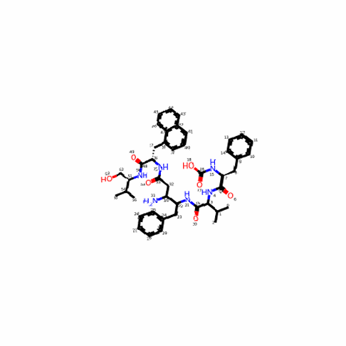 CC(C)C(NC(=O)[C@H](Cc1ccccc1)NC(=O)O)C(=O)NC(Cc1ccccc1)C(N)CC(=O)N[C@@H](Cc1cccc2ccccc12)C(=O)N[C@H](CO)C(C)C